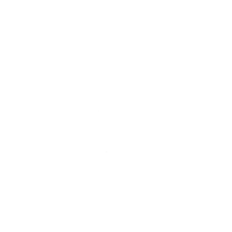 COc1[c]cc2cc(F)ccc2c1